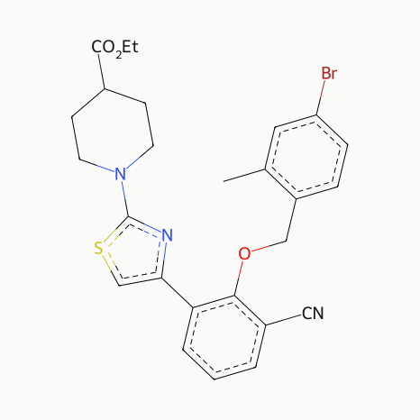 CCOC(=O)C1CCN(c2nc(-c3cccc(C#N)c3OCc3ccc(Br)cc3C)cs2)CC1